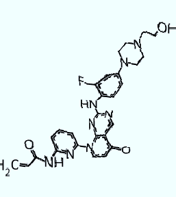 C=CC(=O)Nc1cccc(-n2ccc(=O)c3cnc(Nc4ccc(N5CCN(CCO)CC5)cc4F)nc32)n1